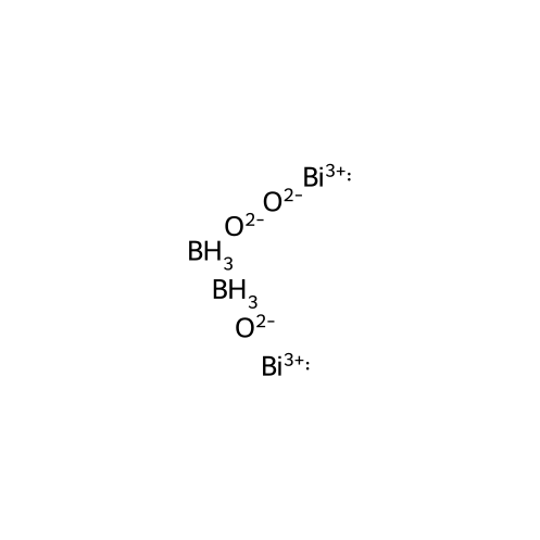 B.B.[Bi+3].[Bi+3].[O-2].[O-2].[O-2]